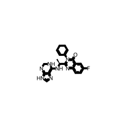 C[C@H](NC1=c2nc[nH]c2=NCN1)c1nc2ccc(F)cc2c(=O)n1C1=CCCC=C1